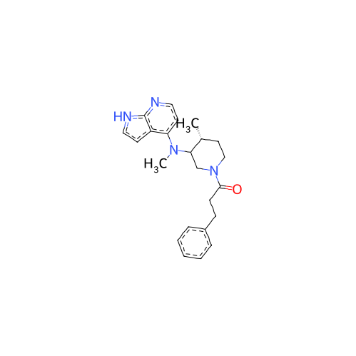 C[C@@H]1CCN(C(=O)CCc2ccccc2)CC1N(C)c1ccnc2[nH]ccc12